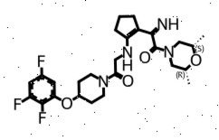 C[C@@H]1CN(C(=O)C(=N)C2=C(NCC(=O)N3CCC(Oc4cc(F)cc(F)c4F)CC3)CCC2)C[C@H](C)O1